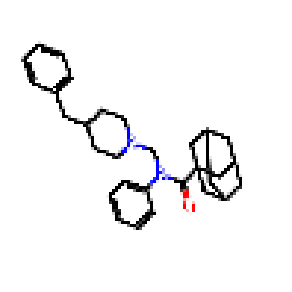 O=C(N(CN1CCC(Cc2ccccc2)CC1)c1ccccc1)C12CC3CC(CC(C3)C1)C2